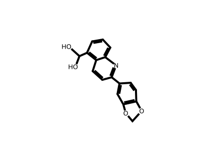 OC(O)c1cccc2nc(-c3ccc4c(c3)OCO4)ccc12